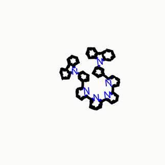 c1cc(-c2cccc(-c3cccc(-c4cccc(-c5cccc(-c6cccc(-n7c8ccccc8c8ccccc87)c6)n5)n4)n3)n2)cc(-n2c3ccccc3c3ccccc32)c1